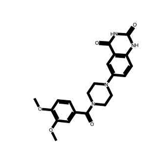 COc1ccc(C(=O)N2CCN(c3ccc4[nH]c(=O)[nH]c(=O)c4c3)CC2)cc1OC